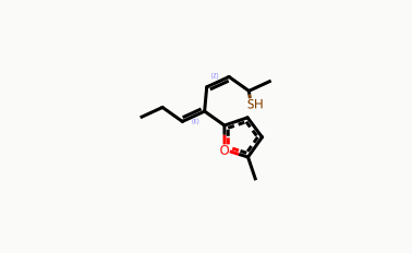 CC/C=C(\C=C/C(C)S)c1ccc(C)o1